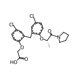 C[C@H](Oc1ccc(Cl)cc1Cc1cc(Cl)ccc1OCC(=O)O)C(=O)N1CCCC1